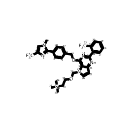 Cn1cc(C(F)(F)F)nc1-c1ccc(COc2nc(-c3ccccc3C(F)(F)F)nc3ccn(COCC[Si](C)(C)C)c23)cc1